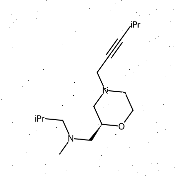 CC(C)C#CCN1CCO[C@@H](CN(C)CC(C)C)C1